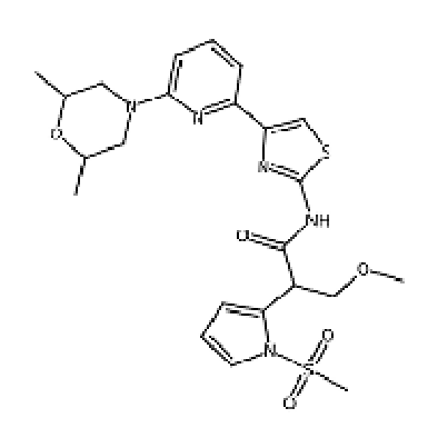 COCC(C(=O)Nc1nc(-c2cccc(N3CC(C)OC(C)C3)n2)cs1)c1cccn1S(C)(=O)=O